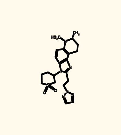 C[C@H]1CCc2c(ccc3c2nc(CCn2nccn2)n3C2CCCS(=O)(=O)C2)N1C(=O)O